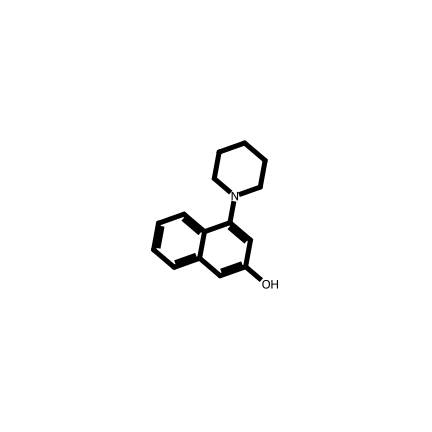 Oc1cc(N2CCCCC2)c2ccccc2c1